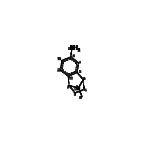 CN1C2CCC1c1cc(N)ccc12